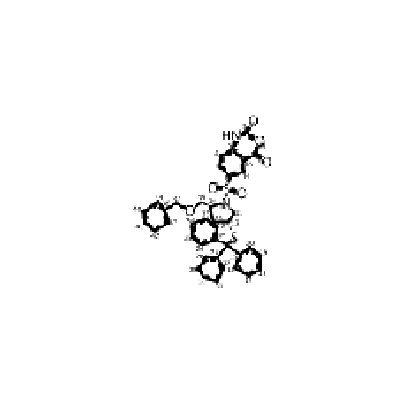 O=c1[nH]c2ccc(S(=O)(=O)N3C[C@H](SC(c4ccccc4)(c4ccccc4)c4ccccc4)C[C@H]3COCc3ccccc3)cc2c(=O)o1